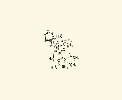 BP(B)O[C@@H](C(OC)OC)C(O[Si](C)(C)C(C)(C)C)[C@H](CC)OCc1ccccc1